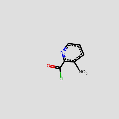 O=C(Cl)c1ncccc1[N+](=O)[O-]